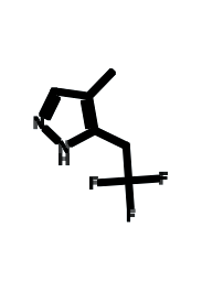 Cc1cn[nH]c1CC(F)(F)F